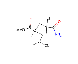 CCC(C)(CC(C)(CC(C)C#N)C(=O)OC)C(N)=O